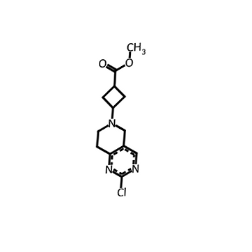 COC(=O)C1CC(N2CCc3nc(Cl)ncc3C2)C1